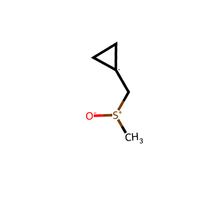 C[S+]([O-])C[C]1CC1